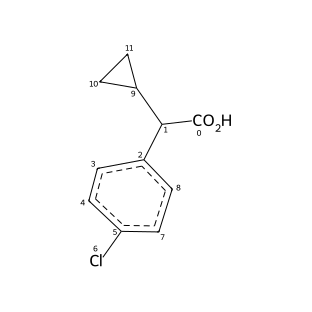 O=C(O)C(c1ccc(Cl)cc1)C1CC1